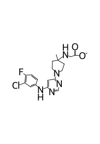 COC(=O)CNC1(C)CCN(c2cc(Nc3ccc(F)c(Cl)c3)ncn2)CC1